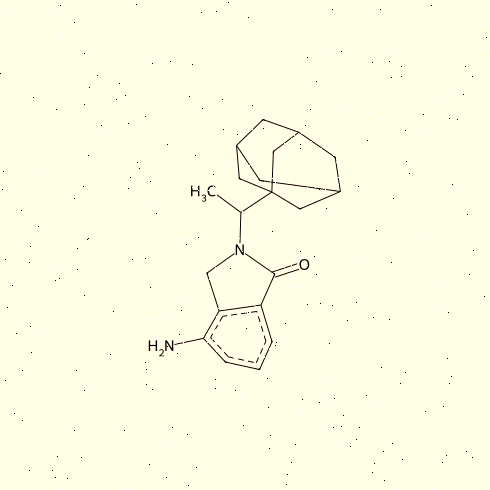 CC(N1Cc2c(N)cccc2C1=O)C12CC3CC(CC(C3)C1)C2